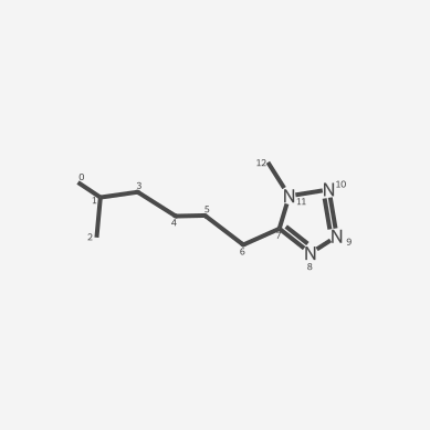 CC(C)CCCCc1nnnn1C